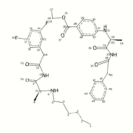 CCCCCCN[C@@H](C)C(=O)NC(=O)Cc1cc(F)cc(F)c1.CCOC(=O)c1ccc(N[C@@H](C)C(=O)NC(=O)Cc2ccccc2)cc1